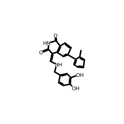 Cc1ccccc1-c1ccc2c(c1)/C(=C\NCc1ccc(O)c(O)c1)C(=O)NC2=O